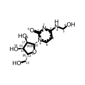 O=c1nc(NCO)ccn1[C@@H]1O[C@H](CO)[C@@H](O)[C@H]1O